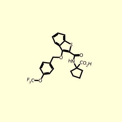 O=C(NC1(C(=O)O)CCCC1)c1sc2ccccc2c1OCc1ccc(OC(F)(F)F)cc1